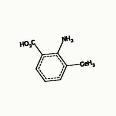 Nc1[c]([GeH3])cccc1C(=O)O